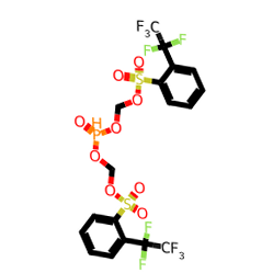 O=[PH](OCOS(=O)(=O)c1ccccc1C(F)(F)C(F)(F)F)OCOS(=O)(=O)c1ccccc1C(F)(F)C(F)(F)F